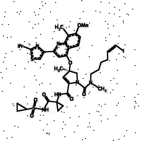 COc1ccc2c(O[C@]3(C)C=C(C(=O)NC4(C(=O)NS(=O)(=O)C5CC5)CC4)N(C(=O)N(C)CCCC/C=C\I)C3)cc(-c3csc(C(C)C)n3)nc2c1C